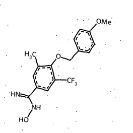 COc1ccc(COc2c(C)cc(C(=N)NO)cc2C(F)(F)F)cc1